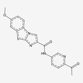 COc1ccc2c(c1)sc1nc(C(=O)Nc3ccc(C(C)=O)nc3)cn12